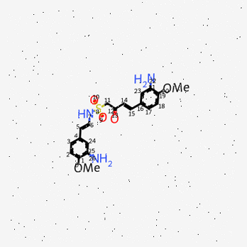 COc1ccc(/C=C/NS(=O)(=O)CC(=O)/C=C/c2ccc(OC)c(N)c2)cc1N